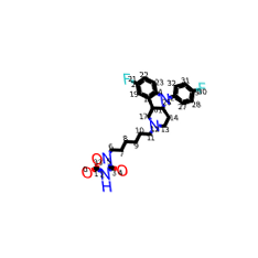 O=c1[nH]c(=O)n(CCCCCCN2CCC3C(C2)c2cc(F)ccc2N3c2ccc(F)cc2)o1